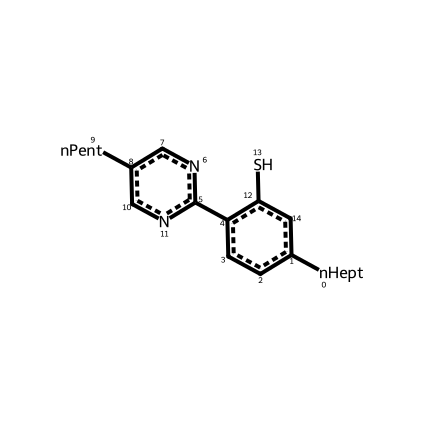 CCCCCCCc1ccc(-c2ncc(CCCCC)cn2)c(S)c1